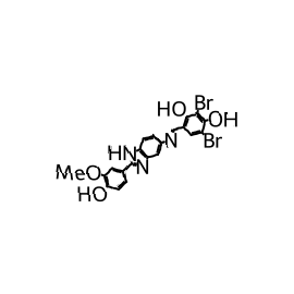 COc1cc(-c2nc3cc(/N=C/c4cc(Br)c(O)c(Br)c4O)ccc3[nH]2)ccc1O